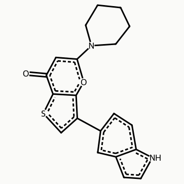 O=c1cc(N2CCCCC2)oc2c(-c3ccc4[nH]ccc4c3)csc12